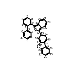 c1ccc(-c2ccccc2-c2sc(-c3ccc4c(c3)oc3ccccc34)c3ccccc23)cc1